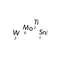 [Mo].[Sn].[Ti].[W]